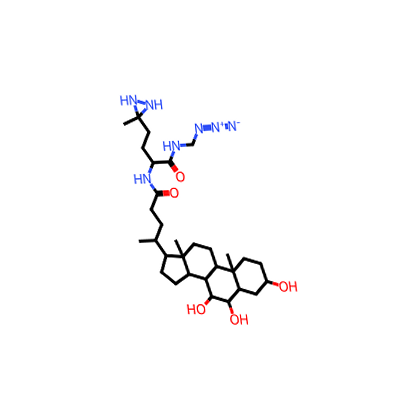 CC(CCC(=O)NC(CCC1(C)NN1)C(=O)NCN=[N+]=[N-])C1CCC2C3C(O)C(O)C4CC(O)CCC4(C)C3CCC12C